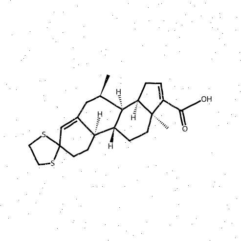 C[C@@H]1CC2=CC3(CC[C@@H]2[C@H]2CC[C@]4(C)C(C(=O)O)=CC[C@@H]4[C@@H]21)SCCS3